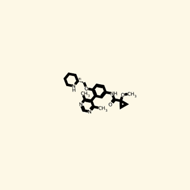 COC1(C(=O)Nc2ccc(OC[C@H]3CCCCN3)c(-c3c(C)ncnc3C)c2)CC1